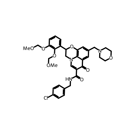 COCOc1cccc(C2Cn3cc(C(=O)NCc4ccc(Cl)cc4)c(=O)c4cc(CN5CCOCC5)cc(c43)O2)c1OCOC